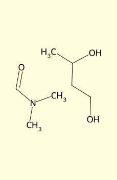 CC(O)CCO.CN(C)C=O